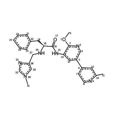 COc1ncc(-c2ccnc(C)c2)cc1NC(=O)[C@H](Cc1ccccc1)NCc1cn(C)cn1